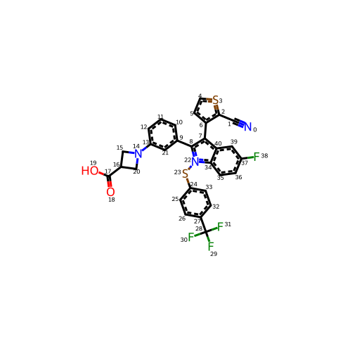 N#Cc1sccc1-c1c(-c2cccc(N3CC(C(=O)O)C3)c2)n(Sc2ccc(C(F)(F)F)cc2)c2ccc(F)cc12